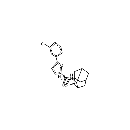 NC(=O)[C@]12CC3CC(C1)[C@@H](NC(=O)c1ccc(-c4cccc(Cl)c4)o1)C(C3)C2